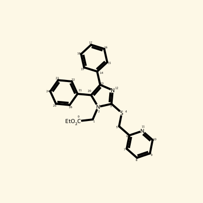 CCOC(=O)Cn1c(SCc2ccccn2)nc(-c2ccccc2)c1-c1ccccc1